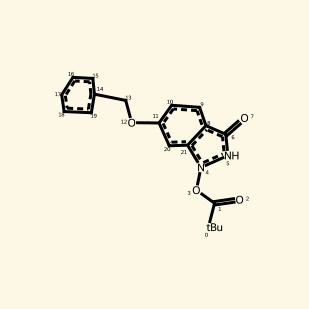 CC(C)(C)C(=O)On1[nH]c(=O)c2ccc(OCc3ccccc3)cc21